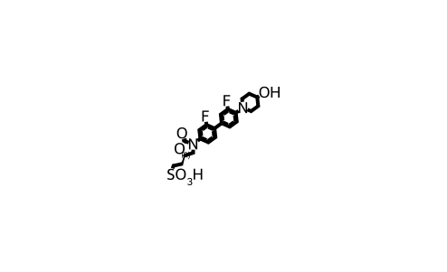 O=C1O[C@H](CCS(=O)(=O)O)CN1c1ccc(-c2ccc(N3CCC(O)CC3)c(F)c2)c(F)c1